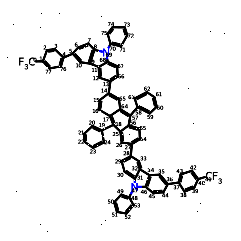 FC(F)(F)c1ccc(-c2ccc3c(c2)c2cc(-c4ccc5c(-c6ccccc6)c6cc(-c7ccc8c(c7)c7cc(-c9ccc(C(F)(F)F)cc9)ccc7n8-c7ccccc7)ccc6c(-c6ccccc6)c5c4)ccc2n3-c2ccccc2)cc1